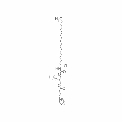 CCCCCCCCCCCCCCCCCCNC(=O)OCC(COC(=O)CCC[n+]1ccsc1)OC.[Cl-]